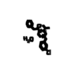 CC(C)[C@H]1CN(Cc2cccc(Cl)c2)CCN1C(=O)Cc1ccccc1.O